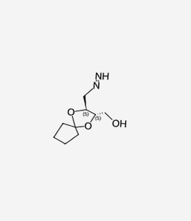 N=NC[C@@H]1OC2(CCCC2)O[C@H]1CO